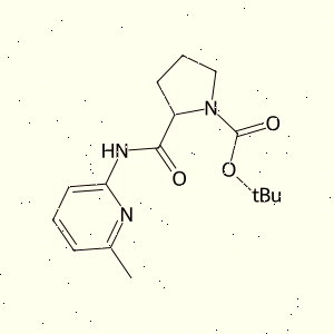 Cc1cccc(NC(=O)C2CCCN2C(=O)OC(C)(C)C)n1